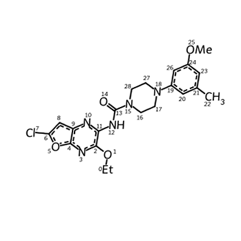 CCOc1nc2oc(Cl)cc2nc1NC(=O)N1CCN(c2cc(C)cc(OC)c2)CC1